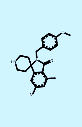 COc1ccc(CN2C(=O)c3c(C)cc(Br)cc3C23CCNCC3)cc1